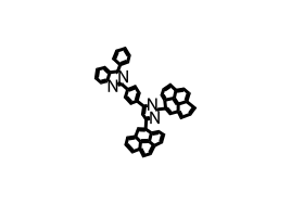 c1ccc(-c2nc(-c3ccc(-c4cc(-c5cc6cccc7ccc8cccc5c8c76)nc(-c5cc6cccc7ccc8cccc5c8c76)n4)cc3)nc3ccccc23)cc1